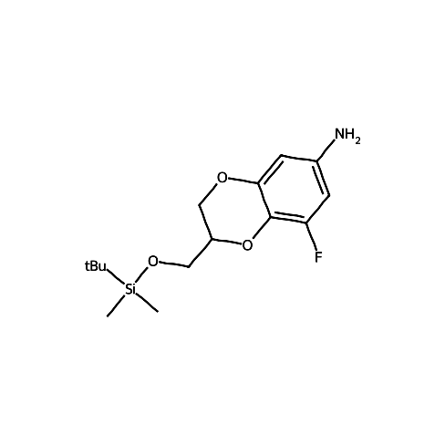 CC(C)(C)[Si](C)(C)OCC1COc2cc(N)cc(F)c2O1